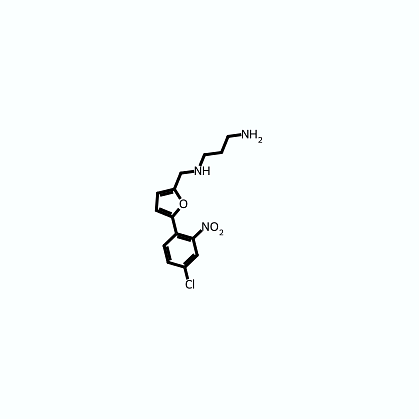 NCCCNCc1ccc(-c2ccc(Cl)cc2[N+](=O)[O-])o1